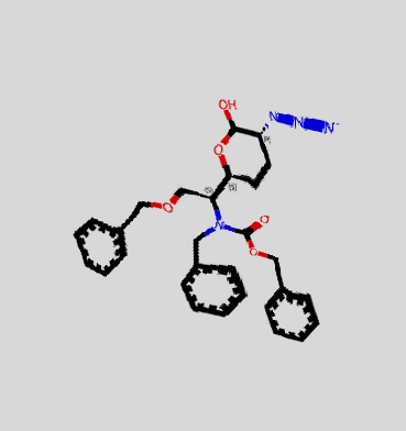 [N-]=[N+]=N[C@@H]1CC[C@@H]([C@H](COCc2ccccc2)N(Cc2ccccc2)C(=O)OCc2ccccc2)OC1O